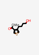 COC(=O)c1cscc1CCCCO